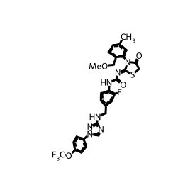 COCc1ccc(C)cc1N1C(=O)CSC1=NC(=O)Nc1ccc(CNc2ncn(-c3ccc(OC(F)(F)F)cc3)n2)cc1F